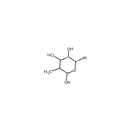 CC(C)C1OC(O)C(C)C(O)C1O